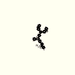 CC1(C)c2ccccc2-c2ccc(-c3ccc(-c4cc(-c5ccc(-c6cc(-c7ccc8oc9ccccc9c8c7)cc(-c7ccc8oc9ccccc9c8c7)c6)cc5)nc(-c5ccccc5)n4)cc3)cc21